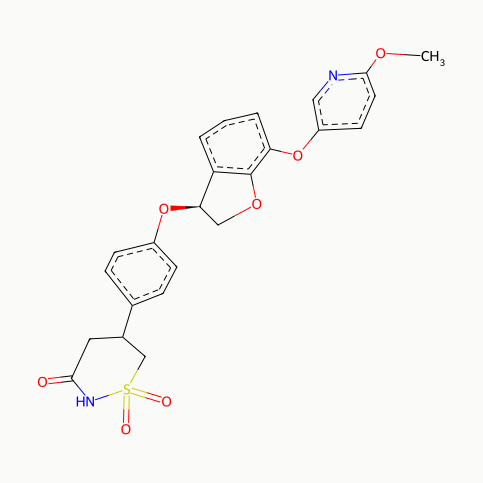 COc1ccc(Oc2cccc3c2OC[C@H]3Oc2ccc(C3CC(=O)NS(=O)(=O)C3)cc2)cn1